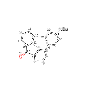 CC(C)(C)c1ccc(-c2cccc3c2-c2ccccc2C3=O)cc1